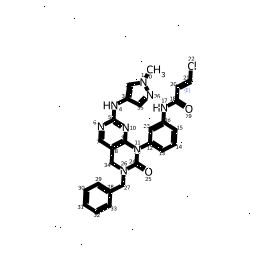 Cn1cc(Nc2ncc3c(n2)N(c2cccc(NC(=O)/C=C/Cl)c2)C(=O)N(Cc2ccccc2)C3)cn1